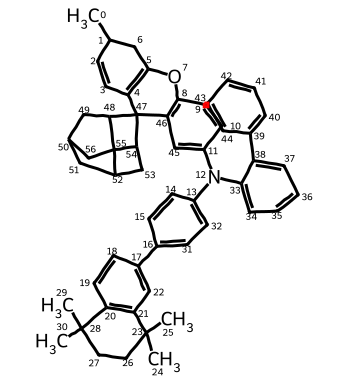 CC1C=CC2=C(C1)Oc1ccc(N(c3ccc(-c4ccc5c(c4)C(C)(C)CCC5(C)C)cc3)c3ccccc3-c3ccccc3)cc1C21C2CC3CC4CC1C42C3